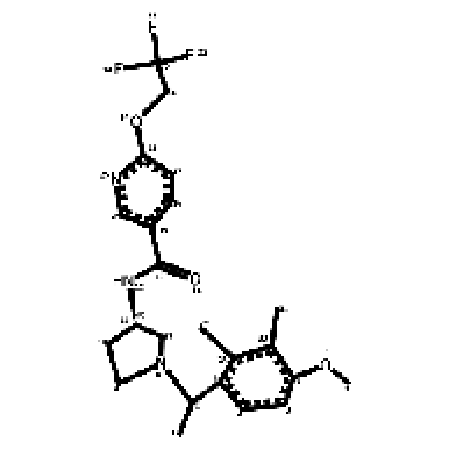 COc1ccc(C(C)N2CC[C@@H](NC(=O)c3ccc(OCC(F)(F)F)nc3)C2)c(C)c1C